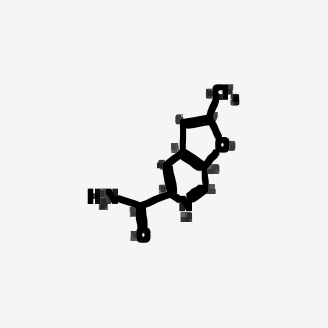 NC(=O)c1cc2cc(C(F)(F)F)oc2cn1